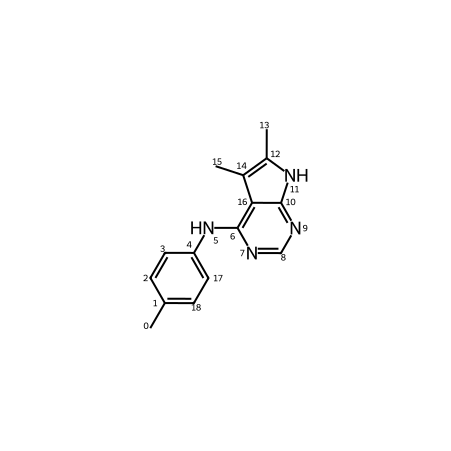 Cc1ccc(Nc2ncnc3[nH]c(C)c(C)c23)cc1